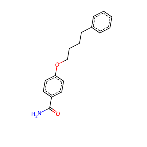 NC(=O)c1ccc(OCCCCc2ccccc2)cc1